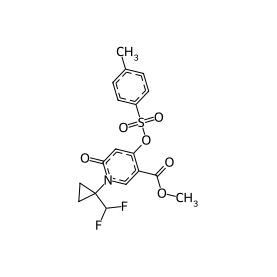 COC(=O)c1cn(C2(C(F)F)CC2)c(=O)cc1OS(=O)(=O)c1ccc(C)cc1